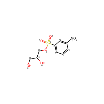 O=[N+]([O-])c1cccc(S(=O)(=O)OCC(O)CO)c1